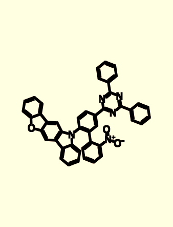 O=[N+]([O-])c1ccccc1-c1cc(-c2nc(-c3ccccc3)nc(-c3ccccc3)n2)ccc1-n1c2ccccc2c2cc3oc4ccccc4c3cc21